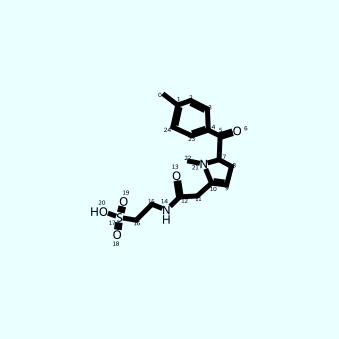 Cc1ccc(C(=O)C2CC=C(CC(=O)NCCS(=O)(=O)O)N2C)cc1